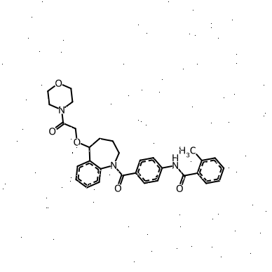 Cc1ccccc1C(=O)Nc1ccc(C(=O)N2CCCC(OCC(=O)N3CCOCC3)c3ccccc32)cc1